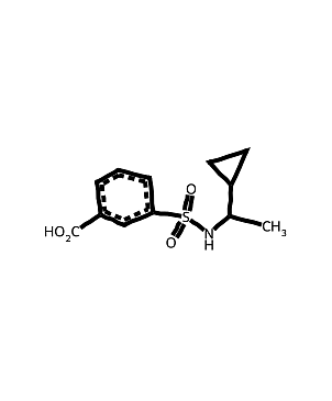 CC(NS(=O)(=O)c1cccc(C(=O)O)c1)C1CC1